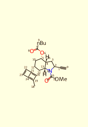 C#CC1C[C@H]2[C@@H](OC(=O)CCCC)CCC[C@H]2N1C(=O)OC.Cc1cc2ccc1-2